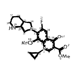 COC(=O)c1cn(C2CC2)c2c(OC)c(N3CC4CCCNC4C3)c(F)cc2c1=O